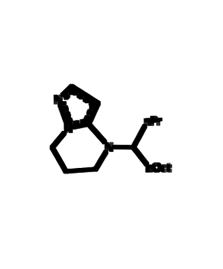 CCCCCCCCC(CCC)N1CCCn2nccc21